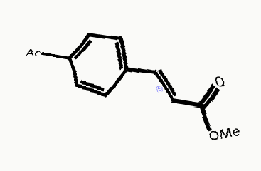 COC(=O)/C=C/c1ccc(C(C)=O)cc1